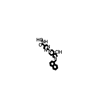 Cl.O=C(NO)c1cnc(N2CCC3(CCN(Cc4cccc5ccccc45)C3)CC2)nc1